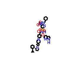 O=C(NS(=O)(=O)c1cnc(NCC2CCCCC2)c([N+](=O)[O-])c1)c1ccc(N2CCC3(CC2)CC(N2CCC[C@@H]2c2ccccc2C2CC2)C3)cc1Oc1cnc2[nH]ccc2c1